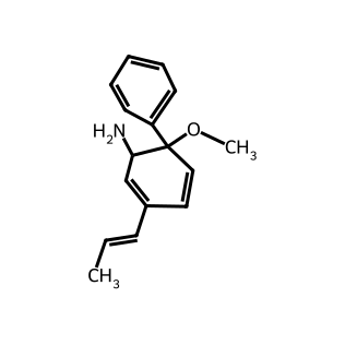 CC=CC1=CC(N)C(OC)(c2ccccc2)C=C1